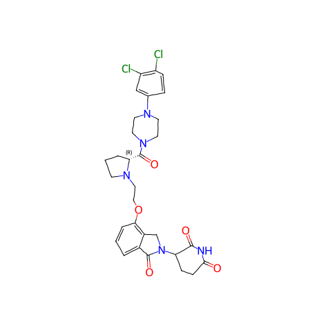 O=C1CCC(N2Cc3c(OCCN4CCC[C@@H]4C(=O)N4CCN(c5ccc(Cl)c(Cl)c5)CC4)cccc3C2=O)C(=O)N1